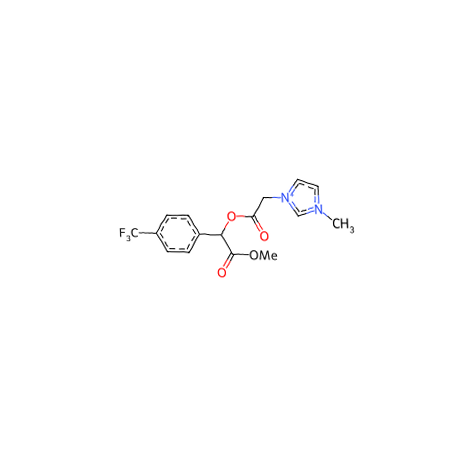 COC(=O)C(OC(=O)C[n+]1ccn(C)c1)c1ccc(C(F)(F)F)cc1